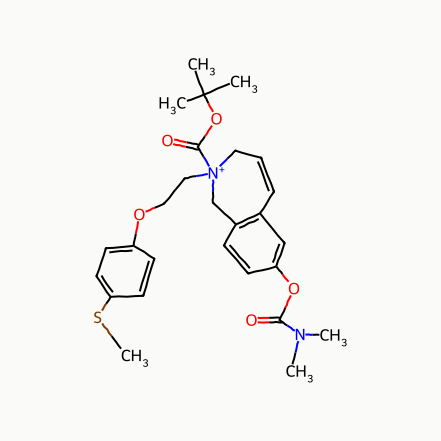 CSc1ccc(OCC[N+]2(C(=O)OC(C)(C)C)CC=Cc3cc(OC(=O)N(C)C)ccc3C2)cc1